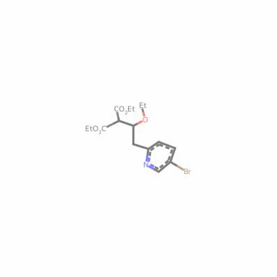 CCOC(=O)C(C(=O)OCC)C(Cc1ccc(Br)cn1)OCC